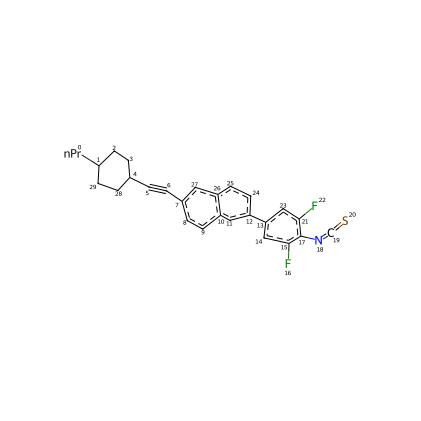 CCCC1CCC(C#Cc2ccc3cc(-c4cc(F)c(N=C=S)c(F)c4)ccc3c2)CC1